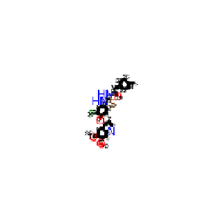 COc1cc2nccc(Oc3ccc(NC(=S)NC(=O)Cc4ccc(C)cc4)cc3F)c2cc1OC